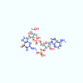 Nc1nc2c(ncn2[C@@H]2O[C@H](CO)C(F)C2OP(=O)(O)OC[C@H]2O[C@@H](n3cnc4c(N)ncnc43)C(O)C2OC[PH](=O)O)c(=O)[nH]1